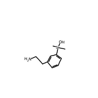 C[Si](C)(O)c1cccc(CCN)c1